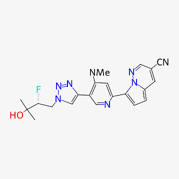 CNc1cc(-c2ccc3cc(C#N)cnn23)ncc1-c1cn(C[C@@H](F)C(C)(C)O)nn1